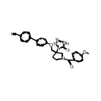 COc1ccc(C(=O)N2CCC(COc3ccc(-c4ccc(C#N)cc4)cc3)(n3nn[nH]c3=O)C2)cc1